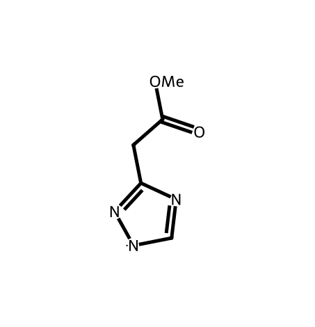 COC(=O)CC1=N[N]C=N1